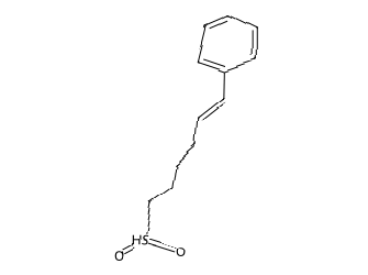 O=[SH](=O)CCCCC=Cc1ccccc1